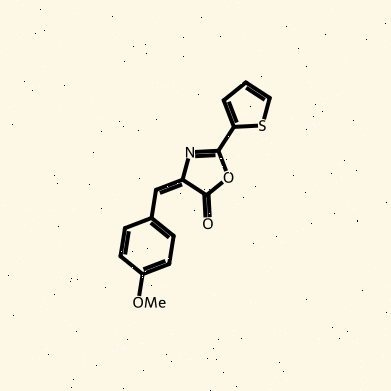 COc1ccc(/C=C2/N=C(c3cccs3)OC2=O)cc1